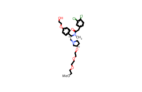 COCCOCCOCCO[C@H]1CCN(C[C@H](c2ccc(OCCO)cc2)N(C)C(=O)Cc2ccc(Cl)c(Cl)c2)C1